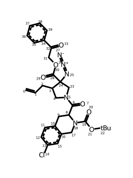 C=CCC1CN(C(=O)C2Cc3ccc(Cl)cc3CN2C(=O)OC(C)(C)C)CC1(N=[N+]=[N-])C(=O)OCC(=O)c1ccccc1